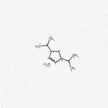 CC(C)N1C=CN(C(C)C)C1.O